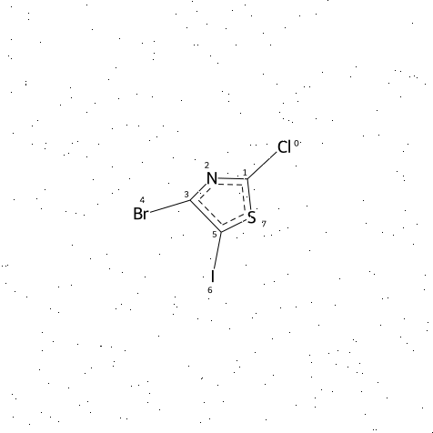 Clc1nc(Br)c(I)s1